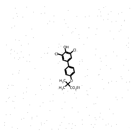 CCOC(=O)C(C)(C)Oc1ccc(-c2cc(Cl)c(O)c(Cl)c2)cc1